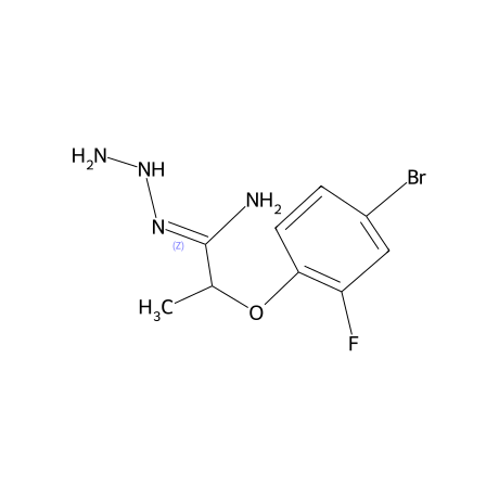 CC(Oc1ccc(Br)cc1F)/C(N)=N/NN